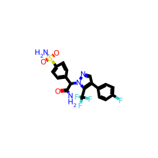 NC(=O)C(c1ccc(S(N)(=O)=O)cc1)n1ncc(-c2ccc(F)cc2)c1C(F)(F)F